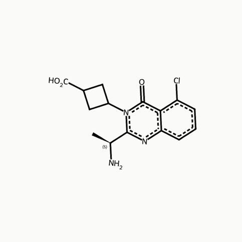 C[C@H](N)c1nc2cccc(Cl)c2c(=O)n1C1CC(C(=O)O)C1